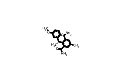 COc1cccc([C@@H](C)c2c(C(N)=O)cc(C)cc2C(N)=O)c1